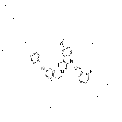 COc1ccc2c(c1)c1c(n2COSc2ccccc2F)CN2CCc3ccc(OCc4ccccc4)cc3C2C1